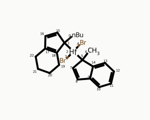 CCCC[C]1([Hf]([Br])([Br])[C]2(C)C=Cc3ccccc32)C=CC2=C1CCCC2